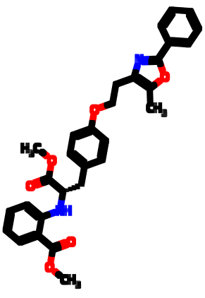 COC(=O)c1ccccc1N[C@@H](Cc1ccc(OCCc2nc(-c3ccccc3)oc2C)cc1)C(=O)OC